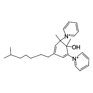 CC(C)CCCCCC1=CC(C)([n+]2ccccc2)C(C)(O)C([n+]2ccccc2)=C1